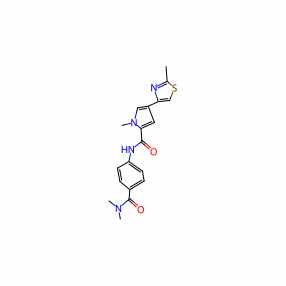 Cc1nc(-c2cc(C(=O)Nc3ccc(C(=O)N(C)C)cc3)n(C)c2)cs1